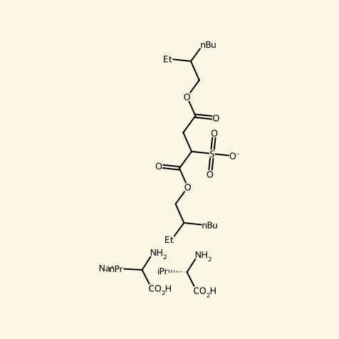 CC(C)[C@H](N)C(=O)O.CCCC(N)C(=O)O.CCCCC(CC)COC(=O)CC(C(=O)OCC(CC)CCCC)S(=O)(=O)[O-].[Na+]